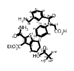 CCOC(=O)c1c(C(N)=O)sc2c1CCCC2.NCc1cccc(C(=O)N(CC(=O)O)c2ccccc2)c1.O=C(O)C(F)(F)F